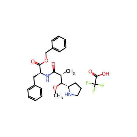 COC([C@@H]1CCCN1)[C@@H](C)C(=O)N[C@@H](Cc1ccccc1)C(=O)OCc1ccccc1.O=C(O)C(F)(F)F